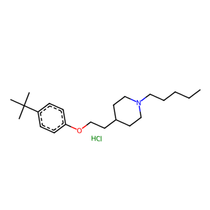 CCCCCN1CCC(CCOc2ccc(C(C)(C)C)cc2)CC1.Cl